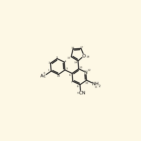 CC(=O)c1cccc(-c2cc(C#N)c(N)nc2-c2ccco2)c1